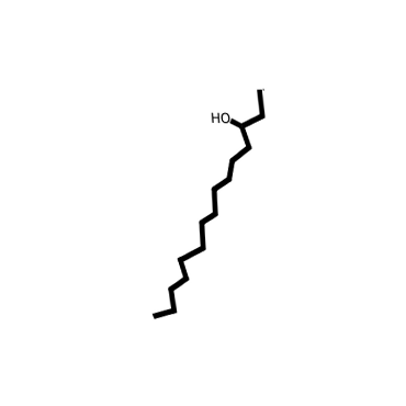 [CH2]CC(O)CCCCCCCCCCCC